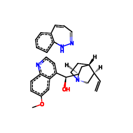 C1=Cc2ccccc2NN=C1.C=C[C@H]1C[N@]2CC[C@H]1C[C@@H]2[C@@H](O)c1ccnc2ccc(OC)cc12